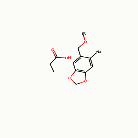 CCC(=O)O.CCOCc1cc2c(c[c]1[Na])OCO2